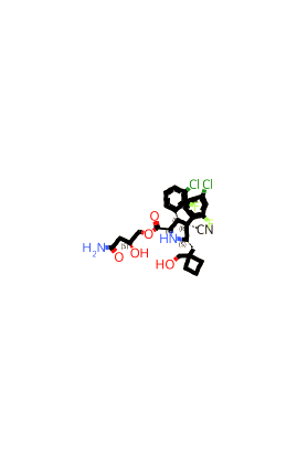 N#C[C@]1(c2ccc(Cl)cc2F)[C@H](CC2(CO)CCC2)N[C@@H](C(=O)OC[C@@H](O)CC(N)=O)[C@@H]1c1cccc(Cl)c1F